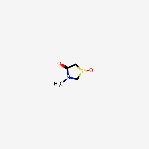 CN1C[S+]([O-])CC1=O